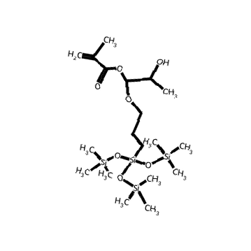 C=C(C)C(=O)OC(OCCC[Si](O[Si](C)(C)C)(O[Si](C)(C)C)O[Si](C)(C)C)C(C)O